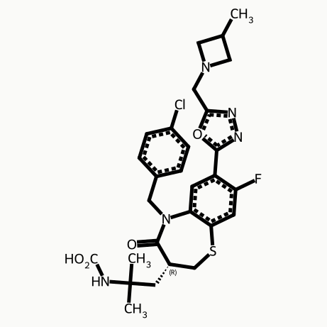 CC1CN(Cc2nnc(-c3cc4c(cc3F)SC[C@H](CC(C)(C)NC(=O)O)C(=O)N4Cc3ccc(Cl)cc3)o2)C1